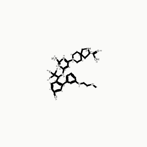 COCCOc1cccc(-c2cc(Cl)ccc2C(Oc2cc(N3CCC4(CC3)CN[C@H](C(=O)O)C4)nc(N)n2)C(F)(F)F)c1